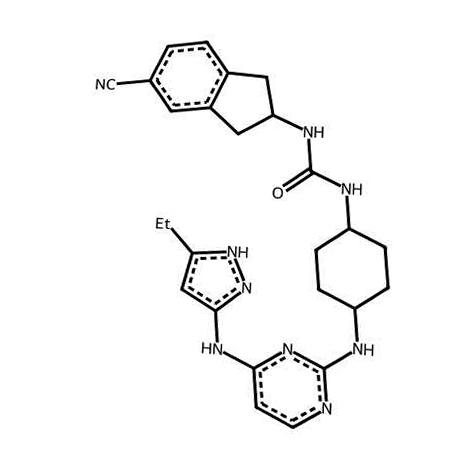 CCc1cc(Nc2ccnc(NC3CCC(NC(=O)NC4Cc5ccc(C#N)cc5C4)CC3)n2)n[nH]1